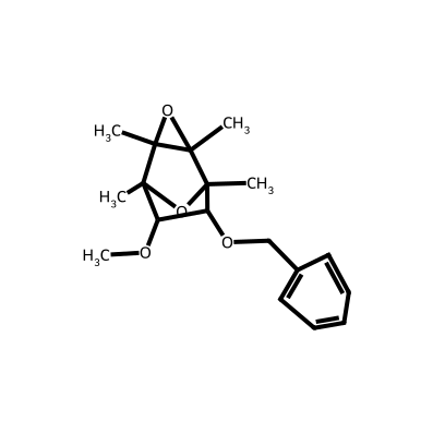 COC1C(OCc2ccccc2)C2(C)OC1(C)C1(C)OC21C